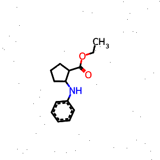 CCOC(=O)C1CCCC1Nc1ccccc1